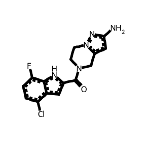 Nc1cc2n(n1)CCN(C(=O)c1cc3c(Cl)ccc(F)c3[nH]1)C2